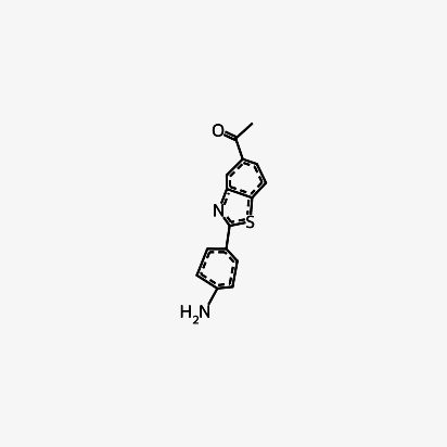 CC(=O)c1ccc2sc(-c3ccc(N)cc3)nc2c1